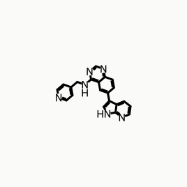 c1cnc2[nH]cc(-c3ccc4ncnc(NCc5ccncc5)c4c3)c2c1